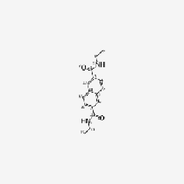 CCNC(=O)c1ccc2cc(C(=O)NCC)ccc2c1